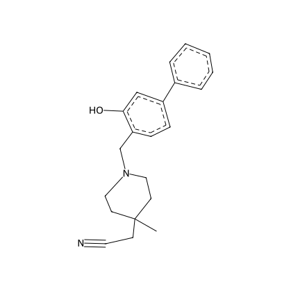 CC1(CC#N)CCN(Cc2ccc(-c3ccccc3)cc2O)CC1